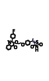 C/C(=C1\SC(=O)NC1=O)c1ccc(OCCOc2c(-c3ccc(F)cc3)n(C)c3ccccc3c2=O)cc1